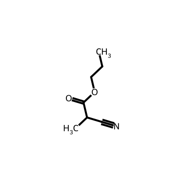 CCCOC(=O)C(C)C#N